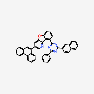 c1ccc(-c2nc(-c3ccc4ccccc4c3)nc(-c3cccc4oc5cc(-c6cc7ccccc7c7ccccc67)cnc5c34)n2)cc1